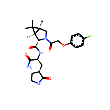 CC1(C)[C@@H]2[C@@H](C(=O)N[C@@H](C[C@@H]3CCNC3=O)C(N)=O)N(C(=O)COc3ccc(F)cc3)C[C@@H]21